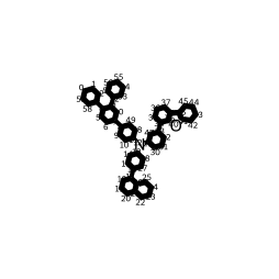 c1ccc(-c2ccc(-c3ccc(N(c4ccc(-c5cccc6ccccc56)cc4)c4cccc(-c5cccc6c5oc5ccccc56)c4)cc3)cc2-c2ccccc2)cc1